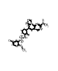 CNc1ncc2cc(-c3cccc(NS(=O)(=O)c4cc(Cl)cnc4OC)c3F)c3nncn3c2n1